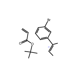 C/C=C(\C)c1cccc(Br)c1.C=CC(=O)OC(C)(C)C